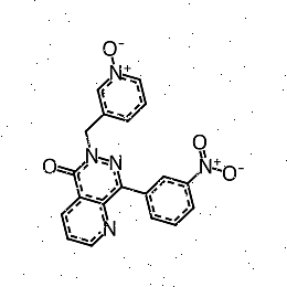 O=c1c2cccnc2c(-c2cccc([N+](=O)[O-])c2)nn1Cc1ccc[n+]([O-])c1